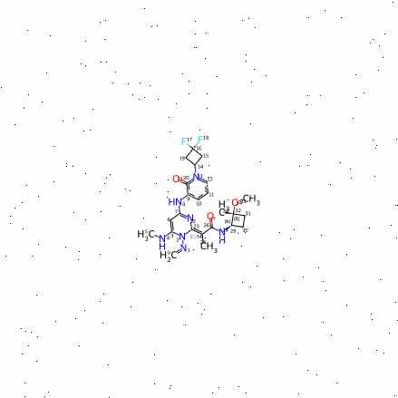 C=NN1C(NC)=CC(Nc2cccn(C3CC(F)(F)C3)c2=O)=N/C1=C(/C)C(=O)N[C@@H]1CC[C@@]1(C)OC